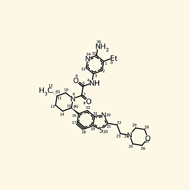 CCc1cc(NC(=O)C(=O)N2C[C@@H](C)CC[C@@H]2c2c#cc3sc(CCN4CCOCC4)nc3c2)cnc1N